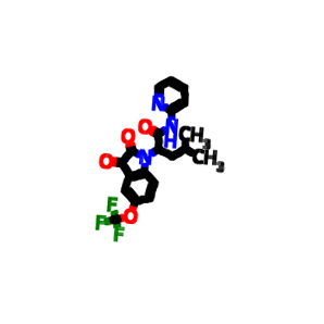 CC(C)CC(C(=O)Nc1ccccn1)N1C(=O)C(=O)c2cc(OC(F)(F)F)ccc21